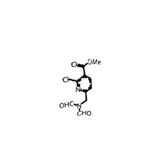 COC(=O)c1ccc(CN(C=O)C=O)nc1Cl